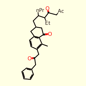 CCCC(CC1CC(=O)c2c(ccc(CC(=O)Cc3ccccc3)c2C)C1)C(CC)C(=O)CC(C)=O